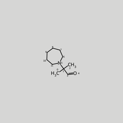 CC(C)(C=O)N1CCCCCC1